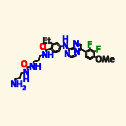 CCc1cc(Nc2nccn3c(-c4ccc(OC)c(F)c4F)cnc23)ccc1C(=O)NCCCNC(=O)NCCCN